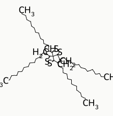 C=C(CCCCCCCCCCCCC)C(=S)C(C(=S)C(=C)CCCCCCCCCCCCC)(C(=S)C(=C)CCCCCCCCCCCCC)C(=S)C(=C)CCCCCCCCCCCCC